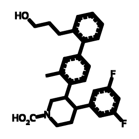 Cc1cc(-c2ccccc2CCCO)ccc1C1CN(C(=O)O)CCC1c1cc(F)cc(F)c1